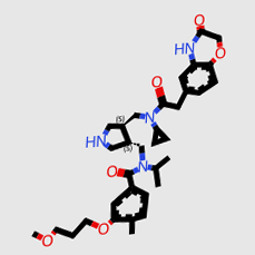 COCCCOc1cc(C(=O)N(C[C@@H]2CNC[C@H]2CN(C(=O)Cc2ccc3c(c2)NC(=O)CO3)C2CC2)C(C)C)ccc1C